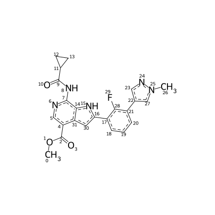 COC(=O)c1cnc(NC(=O)C2CC2)c2[nH]c(-c3cccc(-c4cnn(C)c4)c3F)cc12